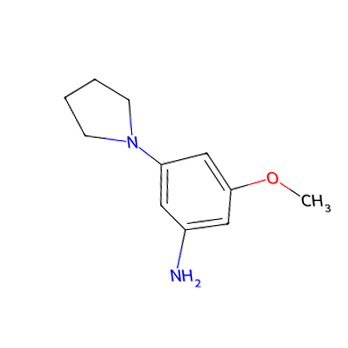 COc1cc(N)cc(N2CCCC2)c1